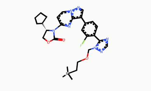 C[Si](C)(C)CCOCn1ncnc1-c1ccc(-c2cnn3ccc(N4C(=O)OC[C@@H]4C4CCCC4)nc23)cc1F